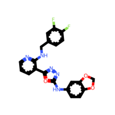 Fc1ccc(CNc2ncccc2-c2nnc(Nc3ccc4c(c3)OCO4)o2)cc1F